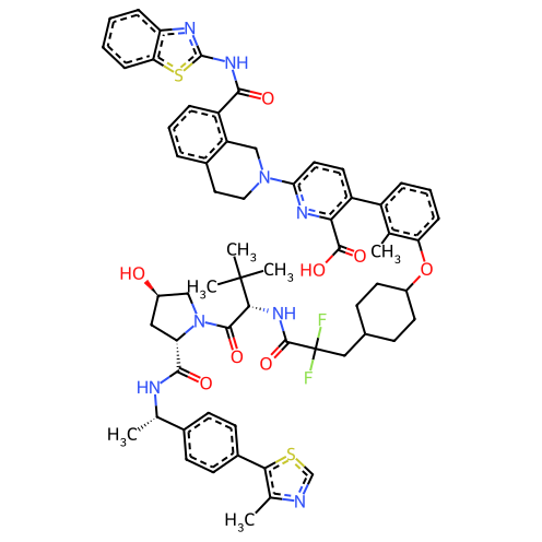 Cc1ncsc1-c1ccc([C@H](C)NC(=O)[C@@H]2C[C@@H](O)CN2C(=O)[C@@H](NC(=O)C(F)(F)CC2CCC(Oc3cccc(-c4ccc(N5CCc6cccc(C(=O)Nc7nc8ccccc8s7)c6C5)nc4C(=O)O)c3C)CC2)C(C)(C)C)cc1